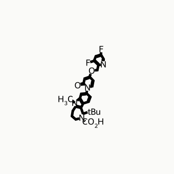 Cn1c2c(c3ccc(-n4ccc(OCc5ncc(F)cc5F)cc4=O)cc31)C(C(C)(C)C)N(C(=O)O)CCC2